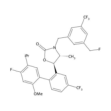 COc1cc(F)c(C(C)C)cc1-c1ccc(C(F)(F)F)cc1[C@H]1OC(=O)N(Cc2cc(CF)cc(C(F)(F)F)c2)[C@@H]1C